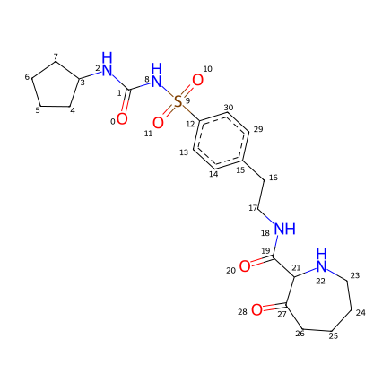 O=C(NC1CCCC1)NS(=O)(=O)c1ccc(CCNC(=O)C2NCCCCC2=O)cc1